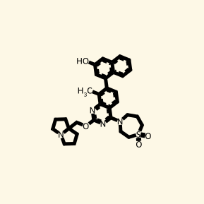 Cc1c(-c2cc(O)cc3ccccc23)ccc2c(N3CCCS(=O)(=O)CC3)nc(OCC34CCCN3CCC4)nc12